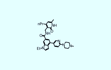 CCCc1cc(C)[nH]c(=O)c1CNC(=O)c1cc(-c2ccc(N3CCN(C)CC3)nc2)c2ccn(CC)c2c1